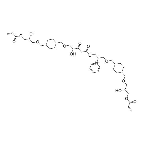 C=CC(=O)OCC(O)COCC1CCC(COCC(O)C(=O)CC(=O)OCC(COCC2CCC(COCC(O)COC(=O)C=C)CC2)[n+]2ccccc2)CC1